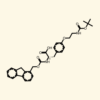 CC(C)(C)OC(=O)NCCOc1ccc(C[C@H](NC(=O)OCc2cccc3c2Cc2ccccc2-3)C(=O)O)cc1